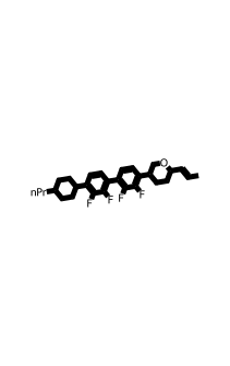 C/C=C/C1CCC(c2ccc(-c3ccc(C4CCC(CCC)CC4)c(F)c3F)c(F)c2F)CO1